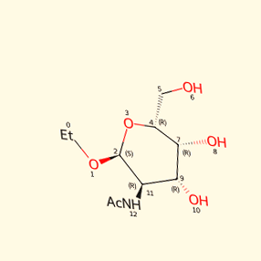 CCO[C@H]1O[C@H](CO)[C@H](O)[C@H](O)[C@H]1NC(C)=O